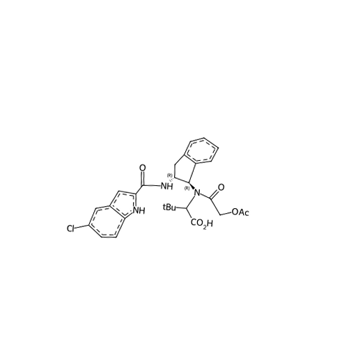 CC(=O)OCC(=O)N(C(C(=O)O)C(C)(C)C)[C@@H]1c2ccccc2C[C@H]1NC(=O)c1cc2cc(Cl)ccc2[nH]1